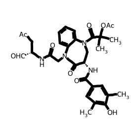 CC(=O)C[C@@H](C=O)NC(=O)CN1C(=O)[C@@H](NC(=O)c2cc(C)c(O)c(C)c2)CN(C(=O)C(C)(C)OC(C)=O)c2ccccc21